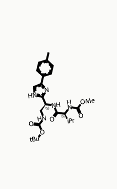 COC(=O)N[C@H](C(=O)N[C@@H](CNC(=O)OC(C)(C)C)c1nc(-c2ccc(C)cc2)c[nH]1)C(C)C